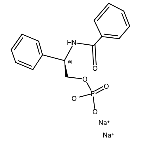 O=C(N[C@@H](COP(=O)([O-])[O-])c1ccccc1)c1ccccc1.[Na+].[Na+]